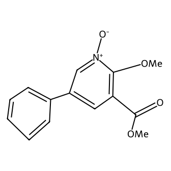 COC(=O)c1cc(-c2ccccc2)c[n+]([O-])c1OC